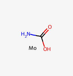 NC(=O)O.[Mo]